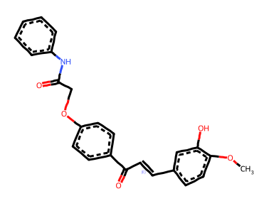 COc1ccc(/C=C/C(=O)c2ccc(OCC(=O)Nc3ccccc3)cc2)cc1O